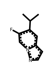 CC(C)c1cc2ccnn2cc1F